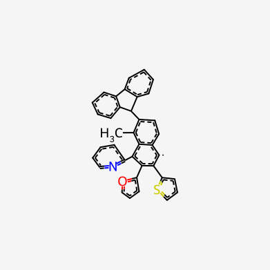 Cc1c(C2c3ccccc3-c3ccccc32)ccc2[c]c(-c3cccs3)c(-c3ccco3)c(-c3ccccn3)c12